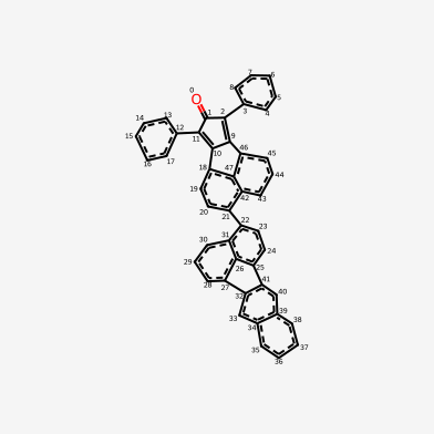 O=C1C(c2ccccc2)=C2C(=C1c1ccccc1)c1ccc(-c3ccc4c5c(cccc35)-c3cc5ccccc5cc3-4)c3cccc2c13